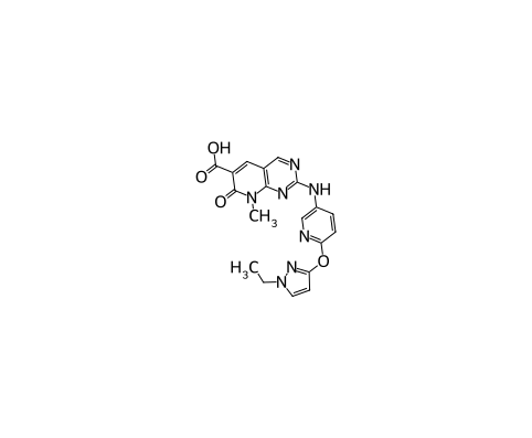 CCn1ccc(Oc2ccc(Nc3ncc4cc(C(=O)O)c(=O)n(C)c4n3)cn2)n1